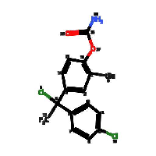 CC(C)(C)c1cc(C(Cl)(c2ccc(Cl)cc2)C(F)(F)F)ccc1OC(N)=O